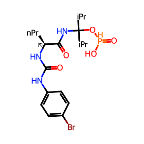 CCC[C@H](NC(=O)Nc1ccc(Br)cc1)C(=O)NC(O[PH](=O)O)(C(C)C)C(C)C